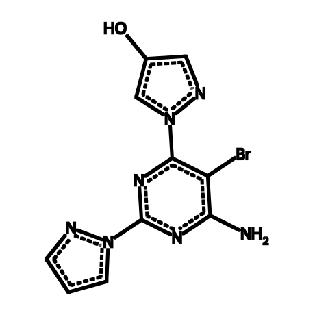 Nc1nc(-n2cccn2)nc(-n2cc(O)cn2)c1Br